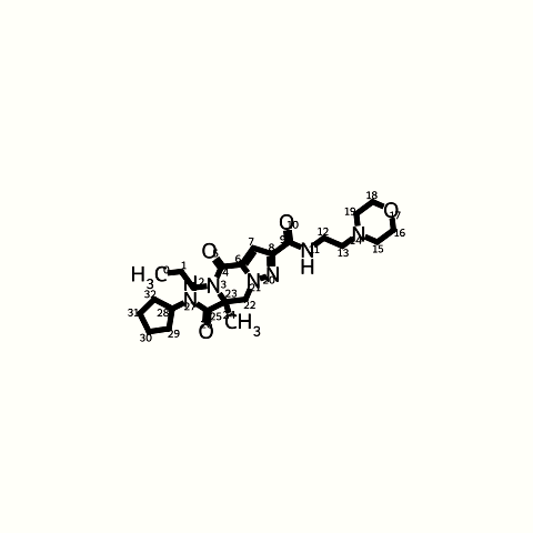 CCCN1C(=O)c2cc(C(=O)NCCN3CCOCC3)nn2CC1(C)C(=O)NC1CCCC1